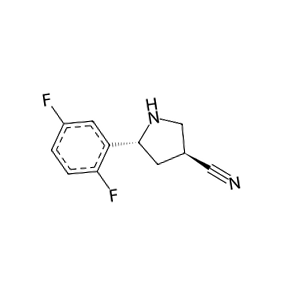 N#C[C@@H]1CN[C@@H](c2cc(F)ccc2F)C1